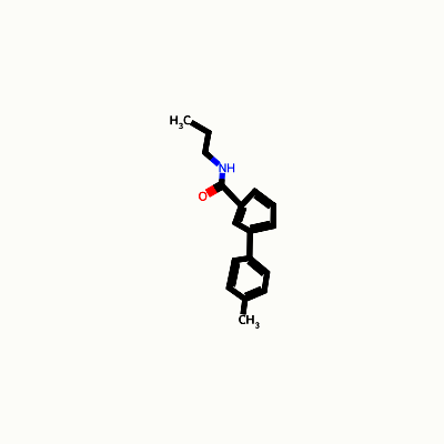 CCCNC(=O)c1cccc(-c2ccc(C)cc2)c1